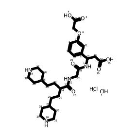 Cl.Cl.O=C(O)COc1cccc(C(CC(=O)O)NC(=O)CNC(=O)C(CCC2CCNCC2)CCC2CCNCC2)c1